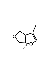 CC1=CO[C@@]2(C)COCC12